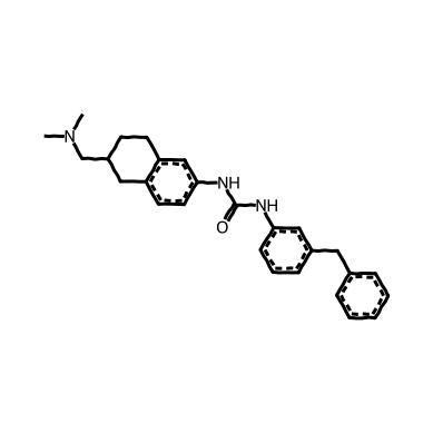 CN(C)CC1CCc2cc(NC(=O)Nc3cccc(Cc4ccccc4)c3)ccc2C1